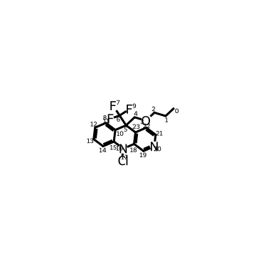 CCCOCC1(C(F)(F)F)c2ccccc2N(Cl)c2cnccc21